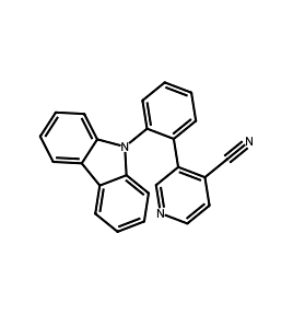 N#Cc1ccncc1-c1ccccc1-n1c2ccccc2c2ccccc21